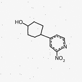 O=[N+]([O-])c1cc(C2CCC(O)CC2)ccn1